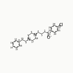 [O-][S+](CCCN1CCN(CCc2ccccc2)CC1)c1ccc(Cl)cc1